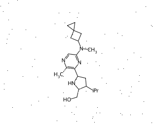 Cc1ncc(N(C)C2CC3(CC3)C2)nc1C1CC(C(C)C)C(CO)N1